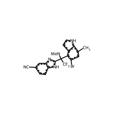 CNC(c1nc2cc(C#N)ccc2[nH]1)(c1c(Br)cc(C)c2[nH]ccc12)C(F)(F)F